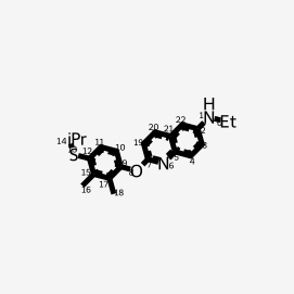 CCNc1ccc2nc(Oc3ccc(SC(C)C)c(C)c3C)ccc2c1